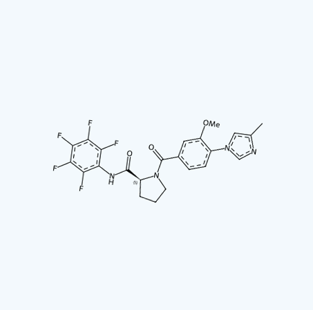 COc1cc(C(=O)N2CCC[C@H]2C(=O)Nc2c(F)c(F)c(F)c(F)c2F)ccc1-n1cnc(C)c1